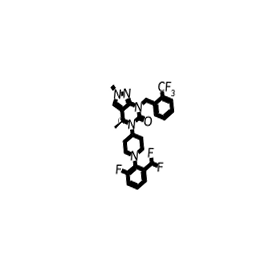 C[C@H]1c2cn(C)nc2N(Cc2ccccc2C(F)(F)F)C(=O)N1C1CCN(c2c(F)cccc2C(F)F)CC1